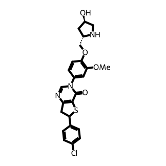 COc1cc(-n2cnc3c(c2=O)SC(c2ccc(Cl)cc2)C3)ccc1OC[C@@H]1C[C@@H](O)CN1